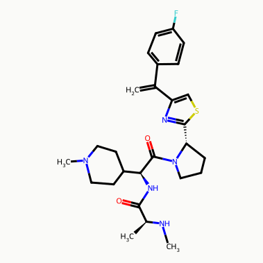 C=C(c1ccc(F)cc1)c1csc([C@@H]2CCCN2C(=O)[C@@H](NC(=O)[C@H](C)NC)C2CCN(C)CC2)n1